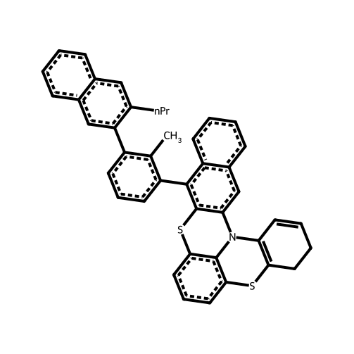 CCCc1cc2ccccc2cc1-c1cccc(-c2c3c(cc4ccccc24)N2C4=C(CCC=C4)Sc4cccc(c42)S3)c1C